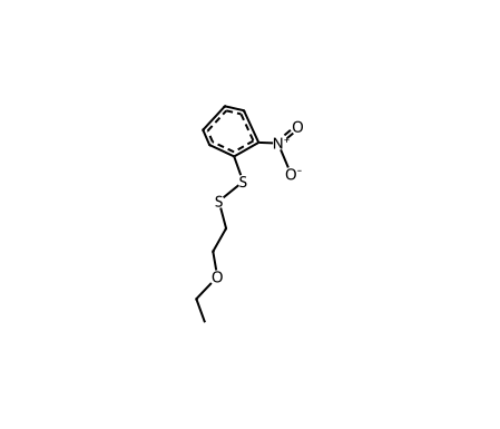 CCOCCSSc1ccccc1[N+](=O)[O-]